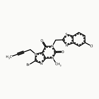 CC#CCn1c(Br)nc2c1c(=O)n(Cc1nc3cc(Cl)ccc3s1)c(=O)n2C